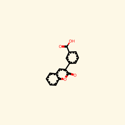 O=C(O)c1cccc(-c2cc3ccccc3oc2=O)c1